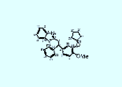 COc1ccc(C(Cc2nc3ccccc3[nH]2)c2ccccc2)cc1OC1CCCC1